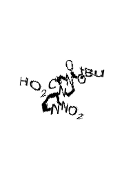 CC(C)(C)OC(=O)N1CCN(c2cccnc2[N+](=O)[O-])[C@H](C(=O)O)C1